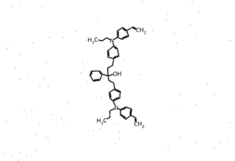 C=Cc1ccc(N(CCC)c2ccc(CCC(O)(CCc3ccc(N(CCC)c4ccc(C=C)cc4)cc3)c3ccccc3)cc2)cc1